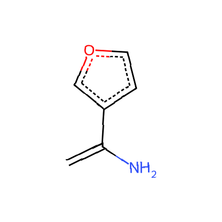 C=C(N)c1ccoc1